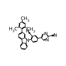 Cc1cc(C)c(-c2ccc3c4ccccc4n(-c4ccc(-c5cnc(C#N)nc5)cc4C#N)c3c2)c(C)c1